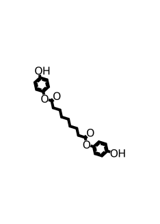 O=C(CCCCCCCC(=O)Oc1ccc(O)cc1)Oc1ccc(O)cc1